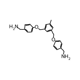 Cc1cc(COc2ccc(CN)cc2)cc(COc2ccc(CN)cc2)c1